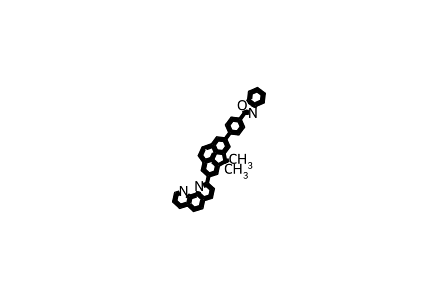 CC1(C)c2cc(-c3ccc(-c4nc5ccccc5o4)cc3)cc3ccc4cc(-c5ccc6ccc7cccnc7c6n5)cc1c4c23